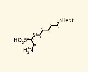 CCCCCCCCCCCCSC(CN)S(=O)(=O)O